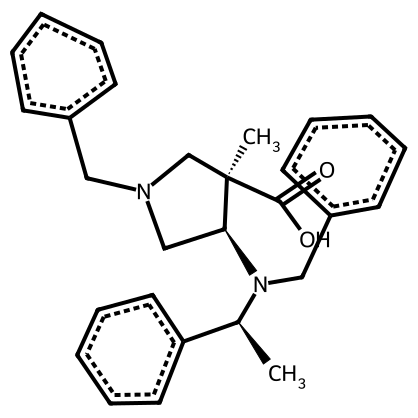 C[C@@H](c1ccccc1)N(Cc1ccccc1)[C@H]1CN(Cc2ccccc2)C[C@@]1(C)C(=O)O